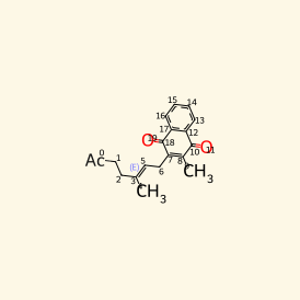 CC(=O)CC/C(C)=C/CC1=C(C)C(=O)c2ccccc2C1=O